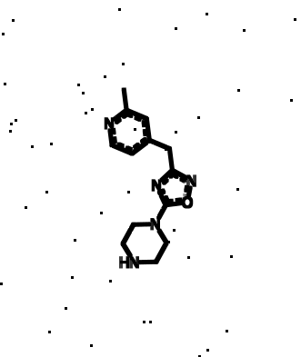 Cc1cc(Cc2noc(N3CCNCC3)n2)ccn1